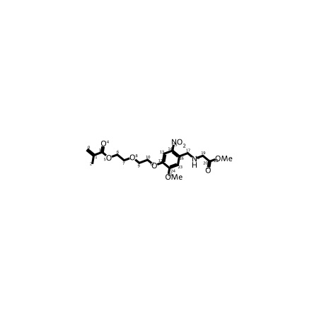 C=C(C)C(=O)OCCOCCOc1cc([N+](=O)[O-])c(CNCC(=O)OC)cc1OC